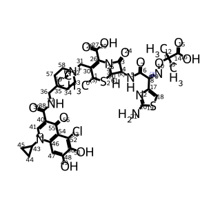 C[C@@H]1S[C@@H]2[C@H](NC(=O)/C(=N\OC(C)(C)C(=O)O)c3csc(N)n3)C(=O)N2C(C(=O)O)=C1C[N+]12CCC(CNC(=O)c3cn(C4CC4)c4cc(O)c(O)c(Cl)c4c3=O)(CC1)CC2